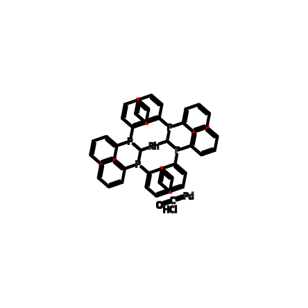 Cl.O=[C]=[Pd].c1ccc(P(c2ccccc2)[CH]([Rh][CH](P(c2ccccc2)c2ccccc2)P(c2ccccc2)c2ccccc2)P(c2ccccc2)c2ccccc2)cc1